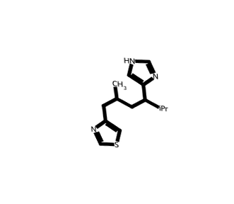 CC(Cc1cscn1)CC(c1c[nH]cn1)C(C)C